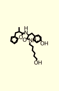 CC(Cc1ccccc1)C(=O)NC(Cc1ccc(O)cc1)C(=O)NCCCCCCO